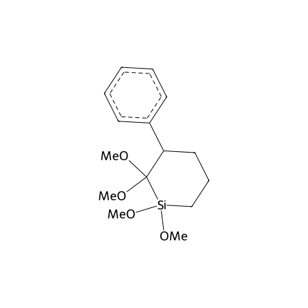 COC1(OC)C(c2ccccc2)CCC[Si]1(OC)OC